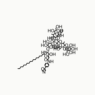 CCCCCCCCCCCCCCCCCC(=O)N[C@@H](COC1OC(CO)C(OC2OC(CO)C(OC3OC(CO)C(O)C(OC4OC(CO)C(O)C(O)C4O)C3C)C(OC3(NOC=O)CC(O)C(C)C([C@H](O)[C@H](O)CO)O3)C2O)C(O)C1O)[C@H](O)/C=C/C(=O)Nc1ccc(-c2cnco2)cc1